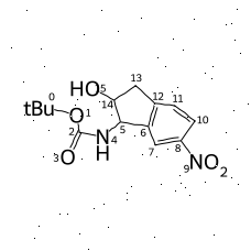 CC(C)(C)OC(=O)NC1c2cc([N+](=O)[O-])ccc2CC1O